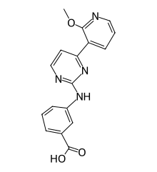 COc1ncccc1-c1ccnc(Nc2cccc(C(=O)O)c2)n1